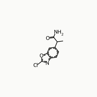 CC(C(N)=O)c1ccc2nc(Cl)oc2c1